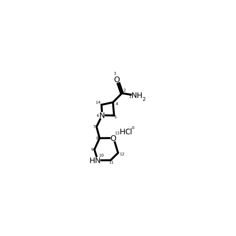 Cl.NC(=O)C1CN(CC2CNCCO2)C1